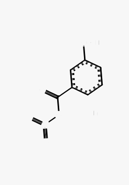 O=C(O)c1cccc(C(=O)O[S-](=O)=O)c1.[Li+]